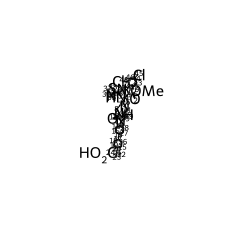 COC(=O)C1=C(CN2CCN3C(=O)N(c4ccc(-c5ccc(C(C)(C)C(=O)O)cc5)cc4)C[C@@H]3C2)NC(c2nccs2)=N[C@H]1c1ccc(Cl)cc1Cl